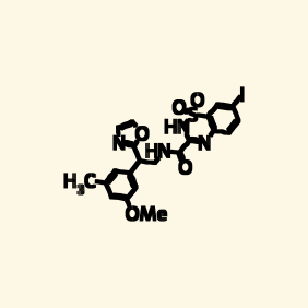 COc1cc(C)cc(C(CNC(=O)C2=Nc3ccc(I)cc3S(=O)(=O)N2)c2ncco2)c1